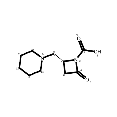 O=C(O)N1C(=O)C[C@@H]1CN1CCCCC1